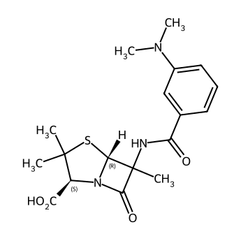 CN(C)c1cccc(C(=O)NC2(C)C(=O)N3[C@@H](C(=O)O)C(C)(C)S[C@@H]32)c1